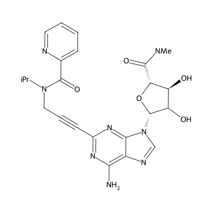 CNC(=O)[C@H]1O[C@@H](n2cnc3c(N)nc(C#CCN(C(=O)c4ccccn4)C(C)C)nc32)C(O)[C@@H]1O